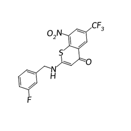 O=c1cc(NCc2cccc(F)c2)sc2c([N+](=O)[O-])cc(C(F)(F)F)cc12